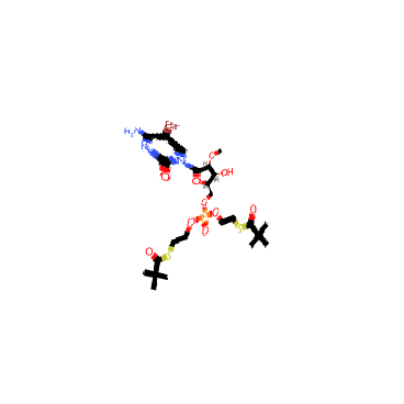 CO[C@H]1C(n2cc(Br)c(N)nc2=O)O[C@H](COP(=O)(OCCSC(=O)C(C)(C)C)OCCSC(=O)C(C)(C)C)[C@H]1O